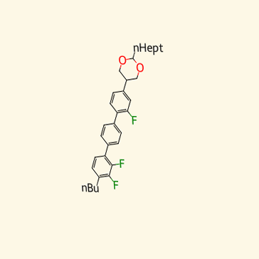 CCCCCCCC1OCC(c2ccc(-c3ccc(-c4ccc(CCCC)c(F)c4F)cc3)c(F)c2)CO1